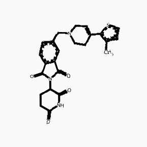 Cc1ccsc1C1=CCN(Cc2ccc3c(c2)C(=O)N(C2CCC(=O)NC2=O)C3=O)CC1